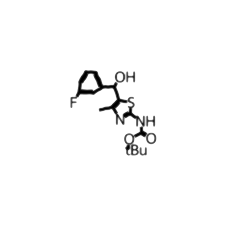 Cc1nc(NC(=O)OC(C)(C)C)sc1C(O)c1cccc(F)c1